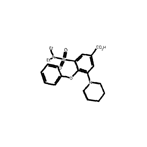 CCN(CC)S(=O)(=O)c1cc(C(=O)O)cc(N2CCCCC2)c1Oc1ccccc1